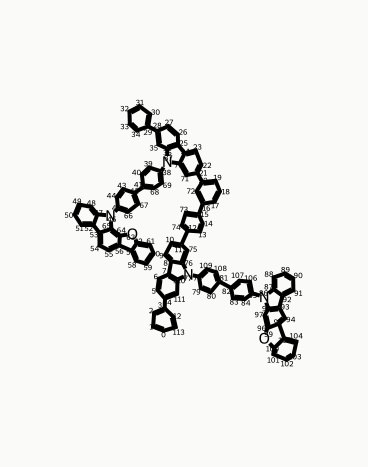 c1ccc(-c2ccc3c4ccc(-c5ccc(-c6cccc(-c7ccc8c9ccc(-c%10ccccc%10)cc9n(-c9ccc(-c%10ccc(-n%11c%12ccccc%12c%12ccc%13c%14ccccc%14oc%13c%12%11)cc%10)cc9)c8c7)c6)cc5)cc4n(-c4ccc(-c5ccc(-n6c7ccccc7c7cc8c(cc76)oc6ccccc68)cc5)cc4)c3c2)cc1